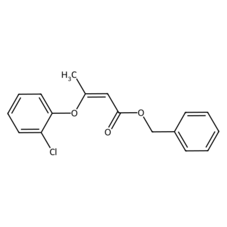 CC(=CC(=O)OCc1ccccc1)Oc1ccccc1Cl